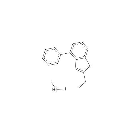 CCC1=Cc2c(cccc2-c2ccccc2)[CH]1.[I][Hf][I]